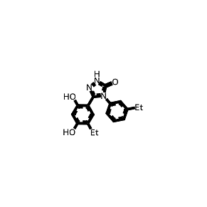 CCc1cccc(-n2c(-c3cc(CC)c(O)cc3O)n[nH]c2=O)c1